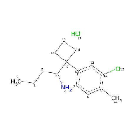 CCCC(N)C1(c2ccc(C)c(Cl)c2)CCC1.Cl